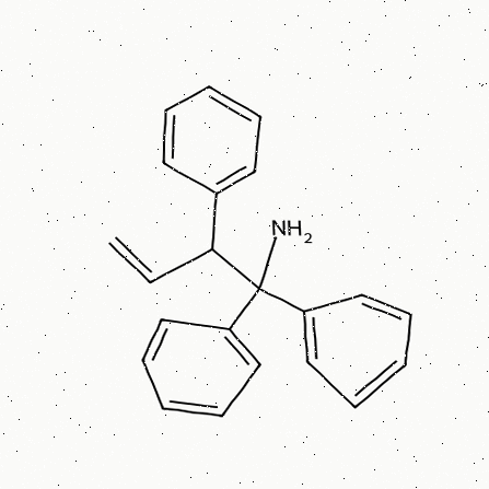 C=CC(c1ccccc1)C(N)(c1ccccc1)c1ccccc1